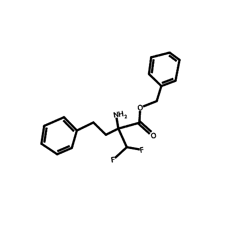 NC(CCc1ccccc1)(C(=O)OCc1ccccc1)C(F)F